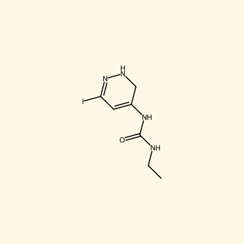 CCNC(=O)NC1=CC(I)=NNC1